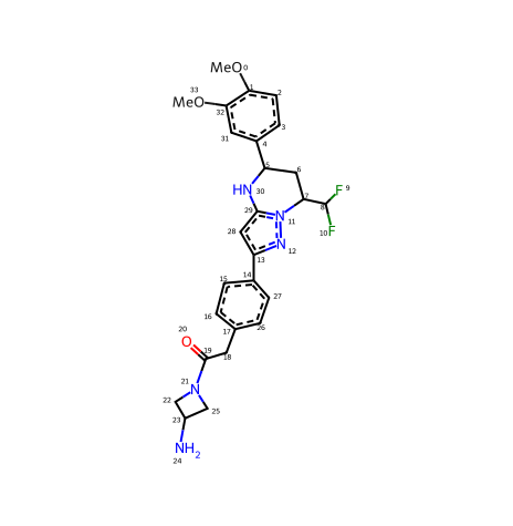 COc1ccc(C2CC(C(F)F)n3nc(-c4ccc(CC(=O)N5CC(N)C5)cc4)cc3N2)cc1OC